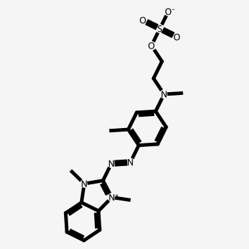 Cc1cc(N(C)CCOS(=O)(=O)[O-])ccc1N=Nc1n(C)c2ccccc2[n+]1C